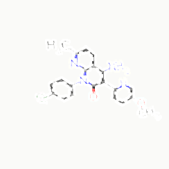 COc1ccc(-c2c(N)c3ccc(C)nc3n(-c3ccc(Cl)cc3)c2=O)nc1